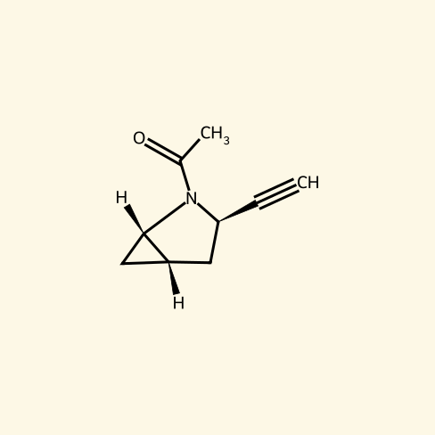 C#C[C@H]1C[C@@H]2C[C@@H]2N1C(C)=O